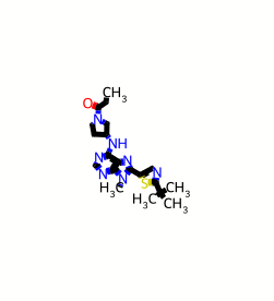 CCC(=O)N1CCC(Nc2ncnc3c2nc(-c2cnc(C(C)(C)C)s2)n3C)C1